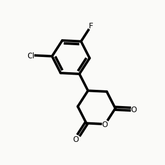 O=C1CC(c2cc(F)cc(Cl)c2)CC(=O)O1